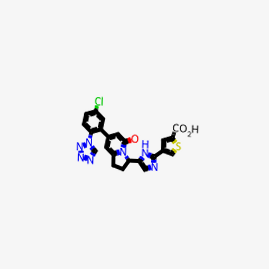 O=C(O)c1cc(-c2ncc(C3CCc4cc(-c5cc(Cl)ccc5-n5cnnn5)cc(=O)n43)[nH]2)cs1